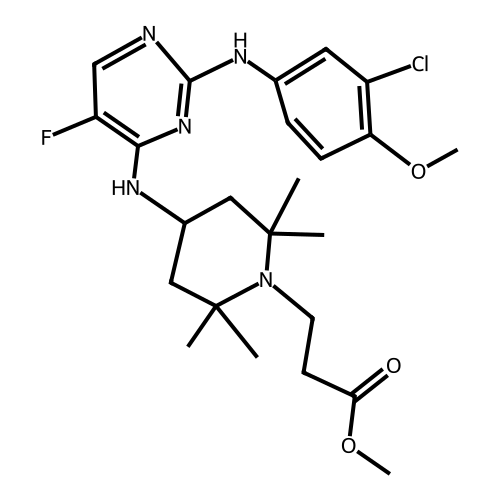 COC(=O)CCN1C(C)(C)CC(Nc2nc(Nc3ccc(OC)c(Cl)c3)ncc2F)CC1(C)C